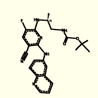 C[C@H](CNC(=O)OC(C)(C)C)Nc1nc(Nc2ccc3ncccc3c2)c(C#N)cc1F